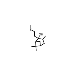 CSCC[C@]1(O)C(C)CC2CC1C2(C)C